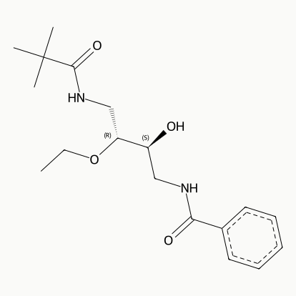 CCO[C@H](CNC(=O)C(C)(C)C)[C@@H](O)CNC(=O)c1ccccc1